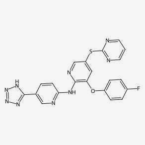 Fc1ccc(Oc2cc(Sc3ncccn3)cnc2Nc2ccc(-c3nnn[nH]3)cn2)cc1